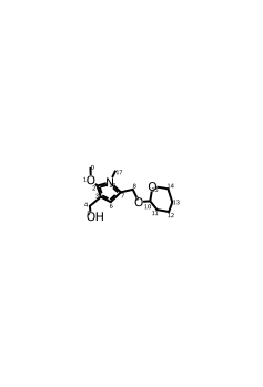 COc1c(CO)cc(COC2CCCCO2)n1C